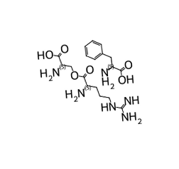 N=C(N)NCCC[C@H](N)C(=O)OC[C@H](N)C(=O)O.N[C@@H](Cc1ccccc1)C(=O)O